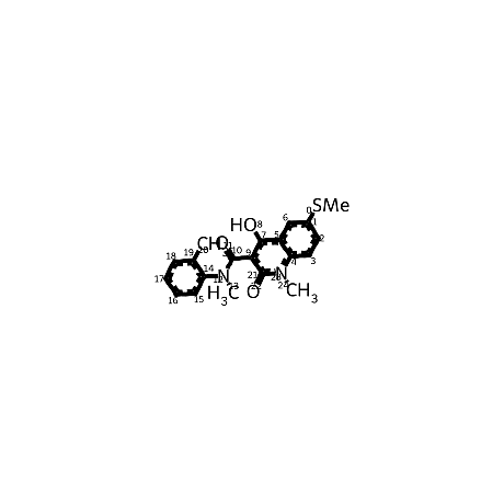 CSc1ccc2c(c1)c(O)c(C(=O)N(C)c1ccccc1C)c(=O)n2C